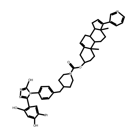 CC(C)c1cc(-c2nnc(O)n2-c2ccc(CC3CCN(C(=O)OC4CCC5(C)C(=CCC6C5CCC5(C)C(c7cccnc7)=CCC65)C4)CC3)cc2)c(O)cc1O